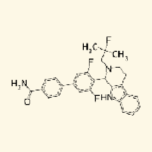 CC(C)(F)CN1CCc2c([nH]c3ccccc23)C1c1c(F)cc(-c2ccc(C(N)=O)cc2)cc1F